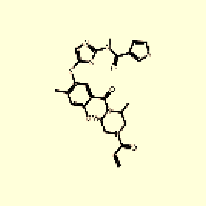 C=CC(=O)N1CCN(C(=O)c2cc(Sc3cnc(NC(=O)c4ccsc4)s3)c(C)cc2OC)C(C)C1